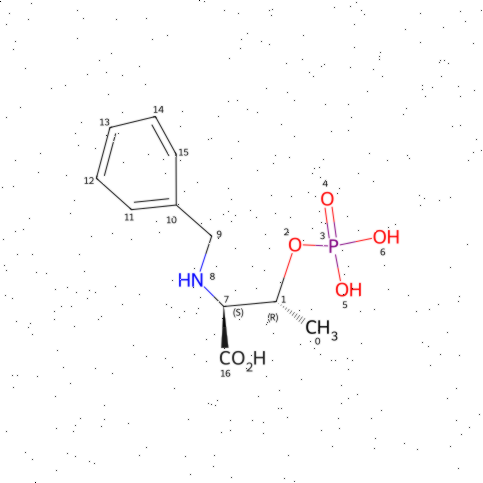 C[C@@H](OP(=O)(O)O)[C@H](NCc1ccccc1)C(=O)O